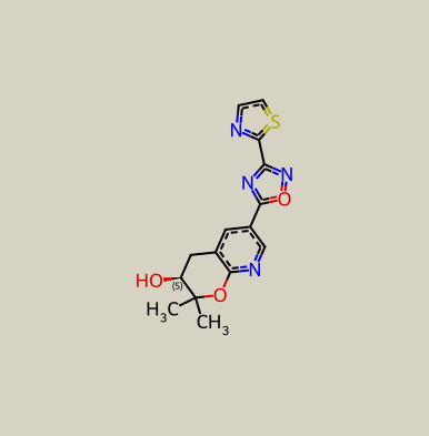 CC1(C)Oc2ncc(-c3nc(-c4nccs4)no3)cc2C[C@@H]1O